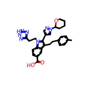 Cc1ccc(CCc2c(-c3cnn(C4CCCCO4)c3)n(CCc3nn[nH]n3)c3ccc(C(=O)O)cc23)cc1